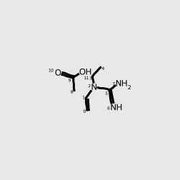 C=CN(CC)C(=N)N.CC(=O)O